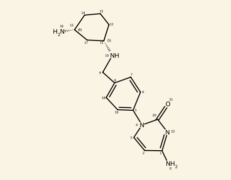 Nc1ccn(-c2ccc(CN[C@H]3CCC[C@@H](N)C3)cc2)c(=O)n1